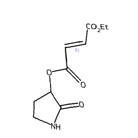 CCOC(=O)/C=C/C(=O)OC1CCNC1=O